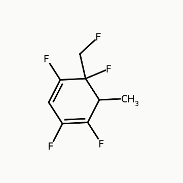 CC1C(F)=C(F)C=C(F)C1(F)CF